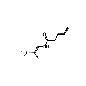 C=CCCC(=O)NC=C(C)C(=O)O